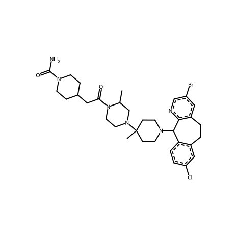 CC1CN(C2(C)CCN(C3c4ccc(Cl)cc4CCc4cc(Br)cnc43)CC2)CCN1C(=O)CC1CCN(C(N)=O)CC1